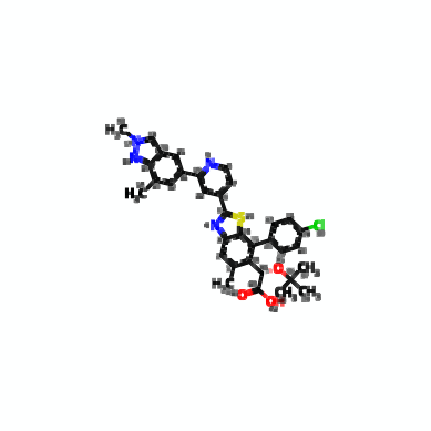 Cc1cc2nc(-c3ccnc(-c4cc(C)c5nn(C)cc5c4)c3)sc2c(-c2ccc(Cl)cc2)c1[C@H](OC(C)(C)C)C(=O)O